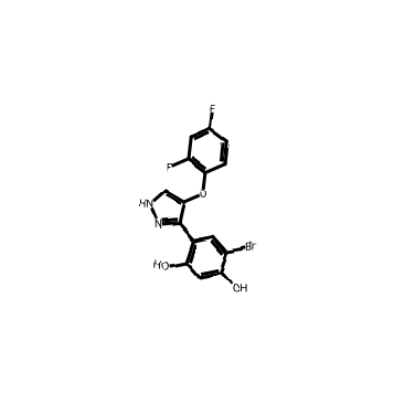 Oc1cc(O)c(-c2n[nH]cc2Oc2ccc(F)cc2F)cc1Br